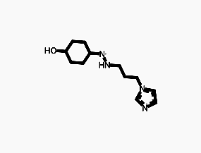 OC1CCC([N]NCCCn2ccnc2)CC1